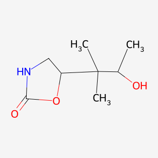 CC(O)C(C)(C)C1CNC(=O)O1